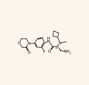 CN(C1CCC1)[C@@H](CN)C(=O)Nc1ccc(N2CCOCC2=O)cc1F